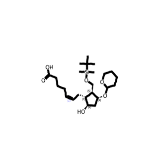 CC(C)(C)[Si](C)(C)OC[C@@H]1[C@@H](C/C=C\CCCC(=O)O)[C@H](O)C[C@H]1OC1CCCCO1